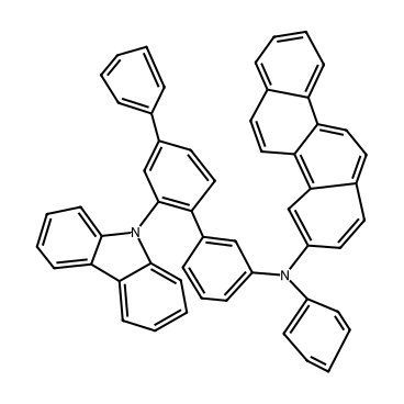 c1ccc(-c2ccc(-c3cccc(N(c4ccccc4)c4ccc5ccc6c7ccccc7ccc6c5c4)c3)c(-n3c4ccccc4c4ccccc43)c2)cc1